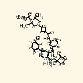 CC1CN(C2CC(C(=O)Nc3cc(Nc4cc(-c5cc(Cl)ccc5F)nnc4N(C)CC4(C)CCOC4=O)ncn3)C2)CC(C)N1C(=O)OC(C)(C)C